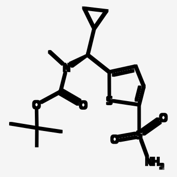 CN(C(=O)OC(C)(C)C)[C@H](c1ccc(S(N)(=O)=O)s1)C1CC1